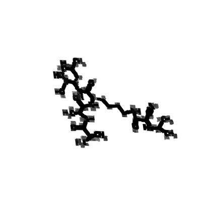 CC(C)C[C@H](NC(=O)[C@H](CCCCNC(=O)/C(C#N)=[SH]/C(C)C)NC(=O)[C@H](C)NC(=O)C(C)C)B(O)O